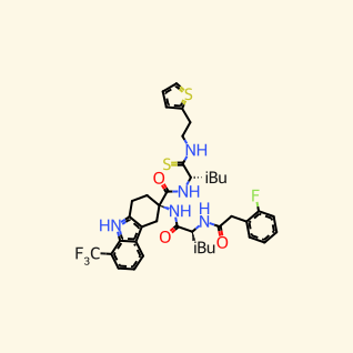 CCC(C)[C@H](NC(=O)Cc1ccccc1F)C(=O)N[C@]1(C(=O)NC(C(=S)NCCc2cccs2)[C@@H](C)CC)CCc2[nH]c3c(C(F)(F)F)cccc3c2C1